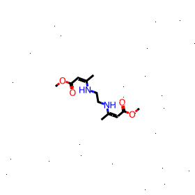 COC(=O)/C=C(/C)NCCN/C(C)=C\C(=O)OC